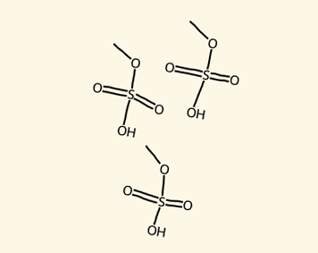 COS(=O)(=O)O.COS(=O)(=O)O.COS(=O)(=O)O